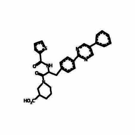 O=C(NC(Cc1ccc(-c2ncc(-c3ccccc3)cn2)cc1)C(=O)N1CCCC(C(=O)O)C1)c1cccs1